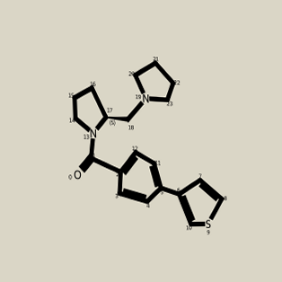 O=C(c1ccc(-c2ccsc2)cc1)N1CCC[C@H]1CN1CCCC1